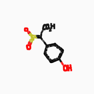 O=C(O)C(c1ccc(O)cc1)=S(=O)=O